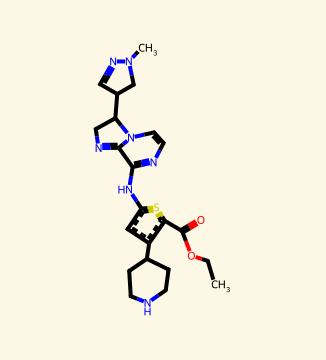 CCOC(=O)c1sc(NC2=NC=CN3C2=NCC3C2C=NN(C)C2)cc1C1CCNCC1